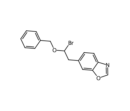 BrC(Cc1ccc2ncoc2c1)OCc1ccccc1